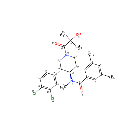 CN(C(=O)c1cc(C(F)(F)F)cc(C(F)(F)F)c1)[C@@H]1CCN(C(=O)C(C)(C)O)C[C@H]1c1ccc(Cl)c(Cl)c1